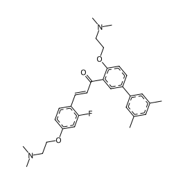 Cc1cc(C)cc(-c2ccc(OCCN(C)C)c(C(=O)/C=C/c3ccc(OCCN(C)C)cc3F)c2)c1